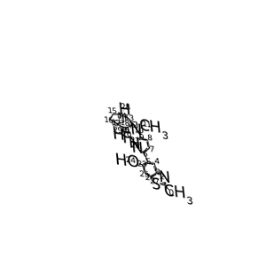 Cc1nc2cc(-c3ccc(N(C)[C@H]4C[C@@H]5CC[C@@H](C5)[C@H]4F)nn3)c(O)cc2s1